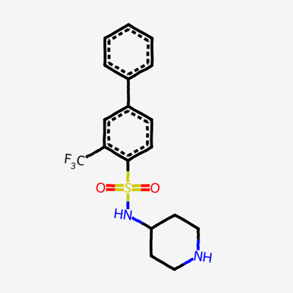 O=S(=O)(NC1CCNCC1)c1ccc(-c2ccccc2)cc1C(F)(F)F